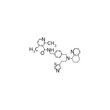 Cc1ccnc(C)c1C(=O)NCc1ccc(CN(CCc2cncs2)C2CCCc3cccnc32)cc1